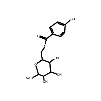 COC1OC(COC(=O)c2ccc(O)cc2)C(O)C(O)C1O